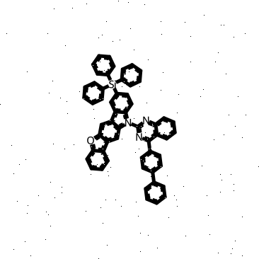 c1ccc(-c2ccc(-c3nc(-n4c5ccc([Si](c6ccccc6)(c6ccccc6)c6ccccc6)cc5c5cc6oc7ccccc7c6cc54)nc4ccccc34)cc2)cc1